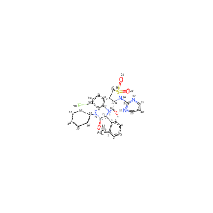 Cc1ccccc1[C@@H](C(=O)NC1CCCCC1)N(C(=O)[C@@H]1CCS(=O)(=O)N1c1ncccn1)c1cccc(F)c1